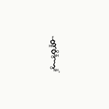 NC(=O)/C=C/CCCC(=O)Nc1cccn(Cc2cc3cc(F)ccc3[nH]2)c1=O